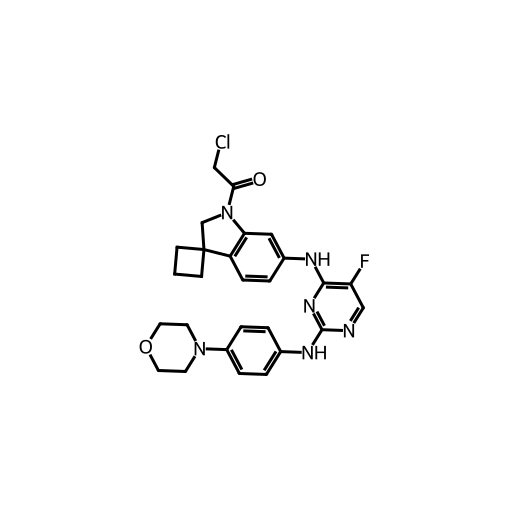 O=C(CCl)N1CC2(CCC2)c2ccc(Nc3nc(Nc4ccc(N5CCOCC5)cc4)ncc3F)cc21